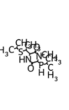 CC(C)PC1C(=O)NC(C(C)SC(C)C)C(=O)N1C